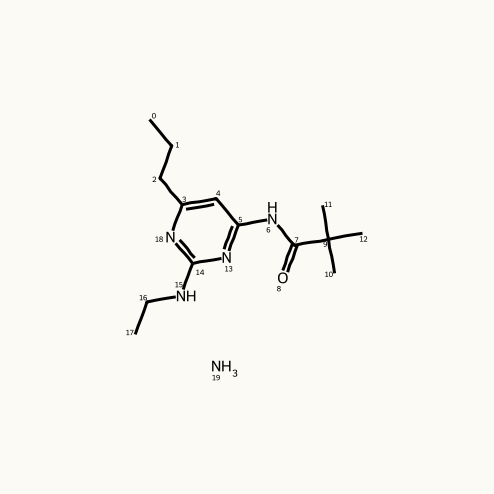 CCCc1cc(NC(=O)C(C)(C)C)nc(NCC)n1.N